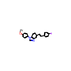 CC(C)Oc1ccc(-n2cnc3cc(C=Cc4ccc(I)cc4)ccc32)cc1